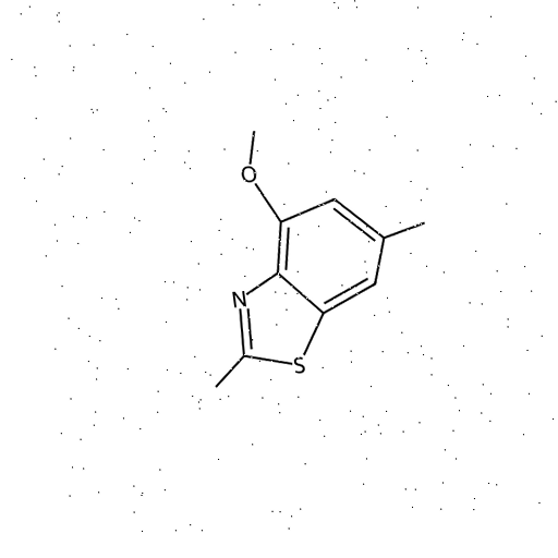 COc1cc(C)cc2sc(C)nc12